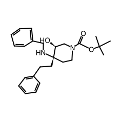 CC(C)(C)OC(=O)N1CC[C@](CCc2ccccc2)(NCc2ccccc2)[C@@H](O)C1